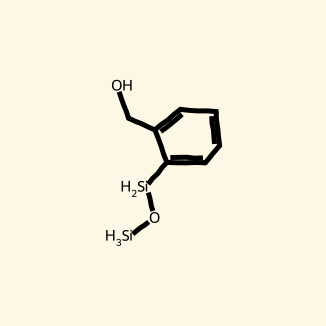 OCc1ccccc1[SiH2]O[SiH3]